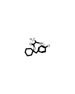 CC(N)C(=O)OC1(Cc2ccc(Cl)cc2)CCCCC1